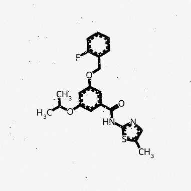 Cc1cnc(NC(=O)c2cc(OCc3ccccc3F)cc(OC(C)C)c2)s1